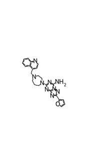 Nc1nc(N2CCCN(Cc3ccnc4ccccc34)CC2)nc2nc(-c3ccco3)nn12